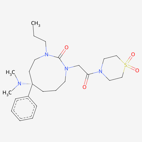 CCCN1CC[C@@](c2ccccc2)(N(C)C)CCCN(CC(=O)N2CCS(=O)(=O)CC2)C1=O